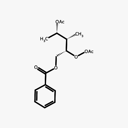 CC(=O)OO[C@H](COC(=O)c1ccccc1)[C@@H](C)[C@H](C)OC(C)=O